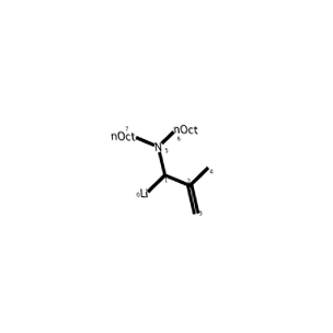 [Li][CH](C(=C)C)N(CCCCCCCC)CCCCCCCC